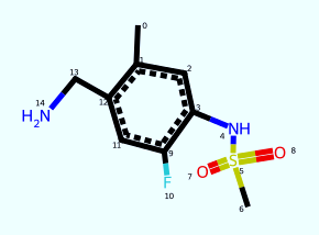 Cc1cc(NS(C)(=O)=O)c(F)cc1CN